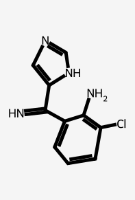 N=C(c1cnc[nH]1)c1cccc(Cl)c1N